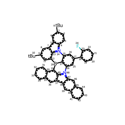 CC(C)(C)c1ccc2c(c1)c1cc(C(C)(C)C)cc3c1n2-c1cc(-c2ccccc2F)cc2c1B3c1c3ccccc3cc3c4cc5ccccc5cc4n-2c13